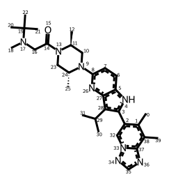 Cc1c(-c2[nH]c3ccc(N4C[C@H](C)N(C(=O)CN(C)C(C)(C)C)C[C@H]4C)nc3c2C(C)C)cn2ncnc2c1C